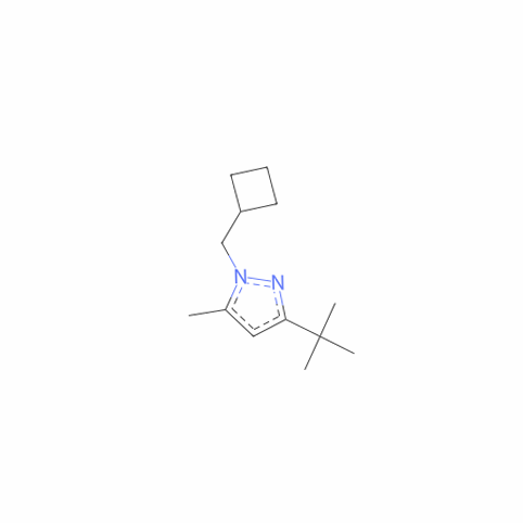 Cc1cc(C(C)(C)C)nn1CC1CCC1